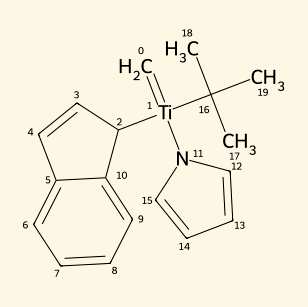 [CH2]=[Ti]([CH]1C=Cc2ccccc21)([n]1cccc1)[C](C)(C)C